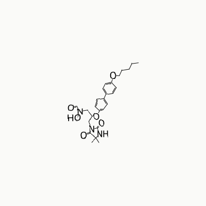 CCCCCOc1ccc(-c2ccc(OC(CN(O)C=O)CN3C(=O)NC(C)(C)C3=O)cc2)cc1